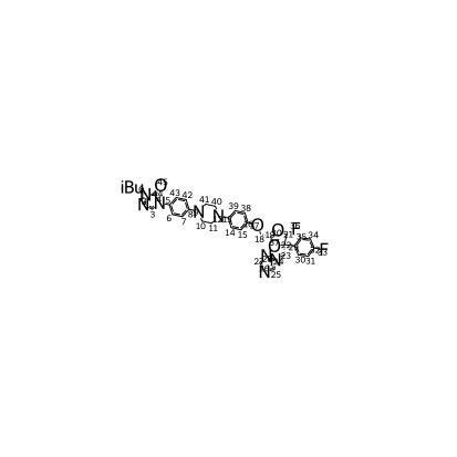 CCC(C)n1ncn(-c2ccc(N3CCN(c4ccc(OC[C@@H]5OC[C@@](Cn6cncn6)(c6ccc(F)cc6F)O5)cc4)CC3)cc2)c1=O